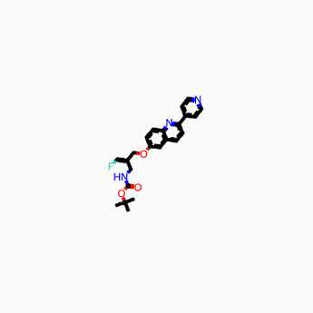 CC(C)(C)OC(=O)NC/C(=C\F)COc1ccc2nc(-c3ccncc3)ccc2c1